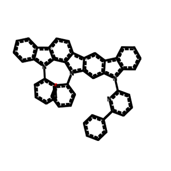 c1ccc(-c2cccc(-n3c4ccccc4c4cc5c6ccc7c8ccccc8n(-c8ccccc8)c7c6n(-c6ccccc6)c5cc43)n2)cc1